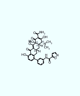 CN(C)[C@H]1C(O)=C(C(N)=O)C(=O)[C@@]2(O)C(O)=C3C(=O)c4c(O)ccc(-c5cccc(NC(=O)c6ccno6)c5)c4C[C@H]3C[C@@H]12